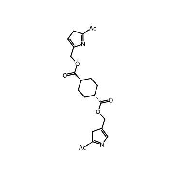 CC(=O)C1=NC=C(COC(=O)[C@H]2CC[C@H](C(=O)OCC3=CCC(C(C)=O)=N3)CC2)C1